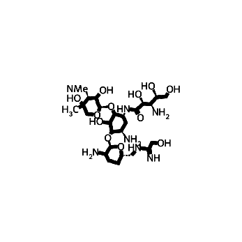 CN[C@@H]1C(O)[C@@H](OC2C(O)C(O[C@H]3O[C@H](CNC(=N)CO)CCC3N)[C@@H](N)C[C@H]2NC(=O)[C@@H](O)[C@@H](N)[C@@H](O)CO)OCC1(C)O